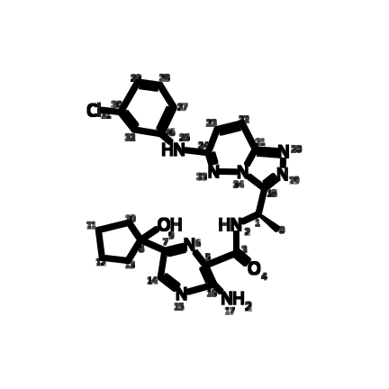 C[C@@H](NC(=O)c1nc(C2(O)CCCC2)cnc1N)c1nnc2ccc(Nc3cccc(Cl)c3)nn12